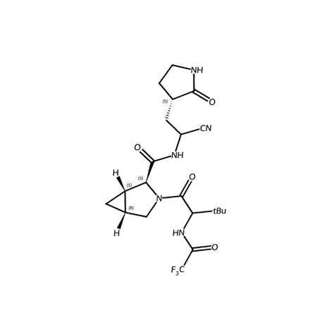 CC(C)(C)C(NC(=O)C(F)(F)F)C(=O)N1C[C@@H]2C[C@@H]2[C@H]1C(=O)NC(C#N)C[C@@H]1CCNC1=O